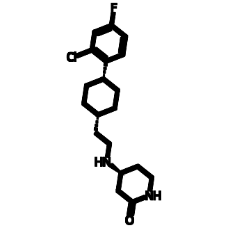 O=C1C[C@@H](NCC[C@H]2CC[C@@H](c3ccc(F)cc3Cl)CC2)CCN1